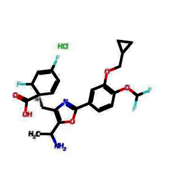 CC(N)c1oc(-c2ccc(OC(F)F)c(OCC3CC3)c2)nc1C[C@@]1(C(=O)O)C=CC(F)=CC1F.Cl